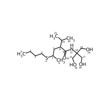 CCCCSC(C)CC(C(=O)NC(CO)(CO)CO)C(C)C